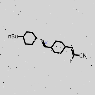 CCCC[C@H]1CC[C@H](/C=C/C2CCC(C=C(F)C#N)CC2)CC1